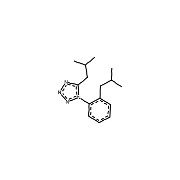 CC(C)Cc1ccccc1-n1nnnc1CC(C)C